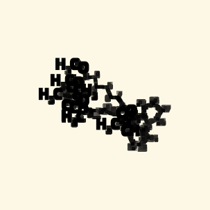 COC(CCCCC[C@H](CC#C[C@H](C)O[Si](C)(C)C(C)(C)C)O[Si](c1ccccc1)(c1ccccc1)C(C)(C)C)OC